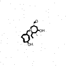 CCC1[C@@H](C)C(O)C[C@@H](C=O)CN1CC1=C/C/C=C/C(O)/C=C\1